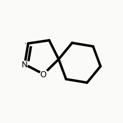 [C]1=NOC2(C1)CCCCC2